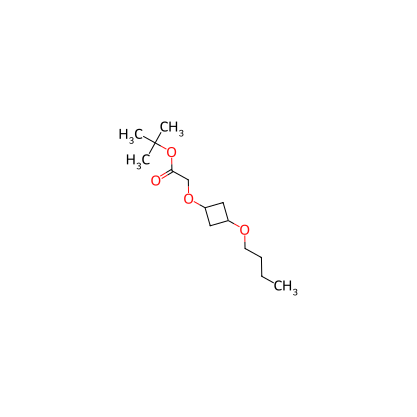 CCCCOC1CC(OCC(=O)OC(C)(C)C)C1